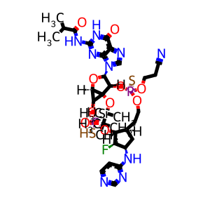 CC(C)C(=O)Nc1nc2c(ncn2[C@@H]2O[C@@H]3[C@@H]4OP(=O)(S)O[C@@H]5[C@@H](CCOP(=S)(OCCC#N)O[C@@H]2C34O[Si](C)(C)C(C)(C)C)C[C@@H](Nc2ccncn2)[C@H]5F)c(=O)[nH]1